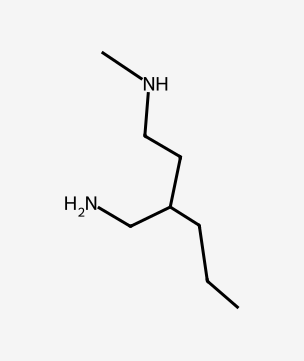 CCCC(CN)CCNC